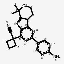 CC1(C)OCCC2C1=Nc1c2nc(-c2cnc(N)nc2)nc1C1(C#N)CCC1